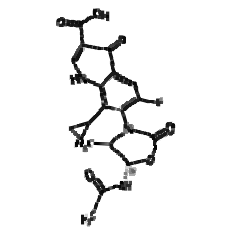 CC(=O)N[C@H]1OC(=O)N(c2c(F)cc3c(=O)c(C(=O)O)c[nH]c3c2C2CC2)C1C